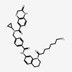 NCCCCCCC(=O)N1CCCc2ccc(NC(=O)c3ccc(CN(C(=O)c4ccc5c(c4)OCC(=O)N5)C4CC4)cc3)cc21